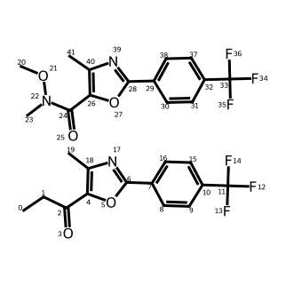 CCC(=O)c1oc(-c2ccc(C(F)(F)F)cc2)nc1C.CON(C)C(=O)c1oc(-c2ccc(C(F)(F)F)cc2)nc1C